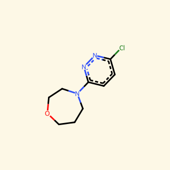 Clc1ccc(N2CCCOCC2)nn1